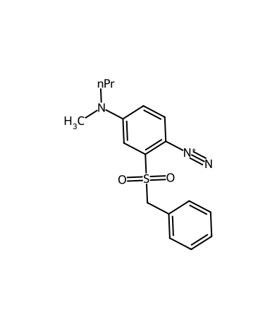 CCCN(C)c1ccc([N+]#N)c(S(=O)(=O)Cc2ccccc2)c1